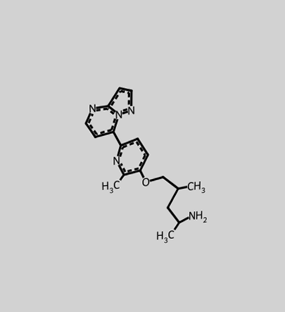 Cc1nc(-c2ccnc3ccnn23)ccc1OCC(C)CC(C)N